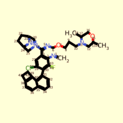 C=Nc1c(/C(=N\COCCCN2CC(C)OCC2C)N2CC3CCC(C2)N3)cc(Cl)c(-c2cccc3ccc4c(c23)CC4)c1F